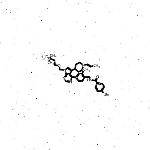 CC=CN1CCC(c2cn(COCC[Si](C)(C)C)c3ncnc(-c4ccc(CNC(=O)c5ccc(C(C)(C)C)cc5)c(C)c4)c23)CC1